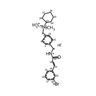 C[N+](C)(Cc1ccc(CNC(=O)/C=C/c2cccc(Br)c2)cc1)C1CCCCC1.[I-]